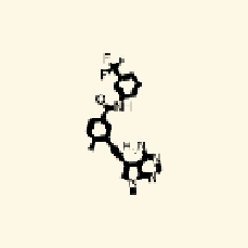 Cc1ccc(C(=O)Nc2cccc(C(F)(F)F)c2)cc1C#Cc1cn(C)c2ncnc(N)c12